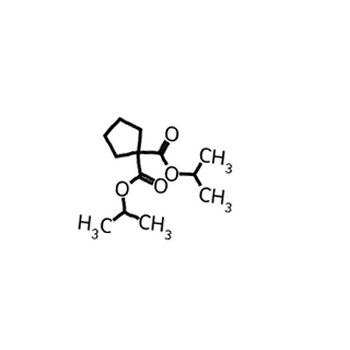 CC(C)OC(=O)C1(C(=O)OC(C)C)CCCC1